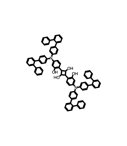 Oc1cc(N(c2ccc(-c3ccccc3-c3ccccc3)cc2)c2ccc(-c3ccccc3-c3ccccc3)cc2)ccc1C1C(O)C(c2ccc(N(c3ccc(-c4ccccc4-c4ccccc4)cc3)c3ccc(-c4ccccc4-c4ccccc4)cc3)cc2O)C1O